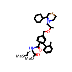 COC(=O)[C@H](CCSC)NC(=O)c1ccc(COC(C)CN2CCSCC2C2CCCCC2)cc1-c1ccccc1C